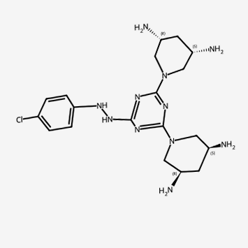 N[C@@H]1C[C@H](N)CN(c2nc(NNc3ccc(Cl)cc3)nc(N3C[C@H](N)C[C@H](N)C3)n2)C1